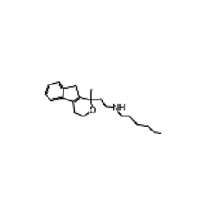 CCCCCCNCCC1(C)OCCC2=C1Cc1ccccc12